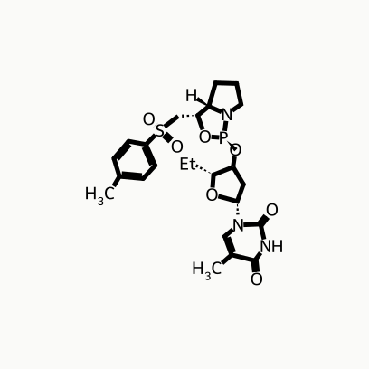 CC[C@H]1O[C@@H](n2cc(C)c(=O)[nH]c2=O)CC1O[P@@]1O[C@H](CS(=O)(=O)c2ccc(C)cc2)[C@@H]2CCCN21